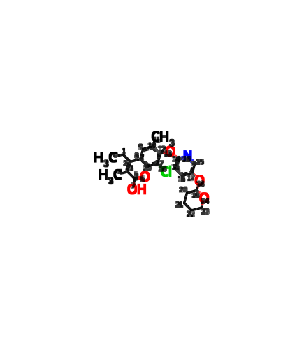 CCC(=C(C)C(=O)O)c1cc(C)c(Oc2ccc(OC3CCCCO3)cn2)c(Cl)c1